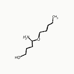 CCCCCOC(N)CCCO